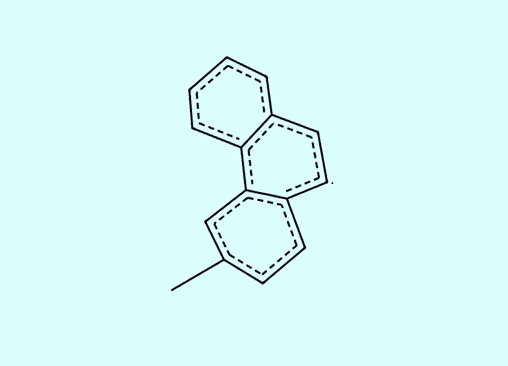 Cc1ccc2[c]cc3ccccc3c2c1